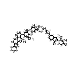 C[C@H]1CN(CC2CN(c3ccc4c(c3)C(=O)N(C3CCC(=O)NC3=O)C4=O)C2)CCN1c1ccc(Nc2cc(-c3ccnc(N4CCc5c(sc6c5CCCC6)C4=O)c3CO)cn(C)c2=O)nc1